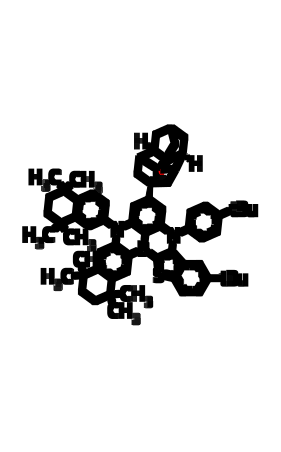 CC(C)(C)c1ccc(N2c3cc([C@]45CC6C7CC8C[C@@H]6C(C4)[C@@H](C8)C7C5)cc4c3B(c3cc5c(cc3N4c3ccc4c(c3)C(C)(C)CCC4(C)C)C(C)(C)CCC5(C)C)c3sc4ccc(C(C)(C)C)cc4c32)cc1